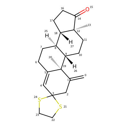 C=C1CC2(C=C3CC[C@@H]4[C@H](CC[C@]5(C)C(=O)CC[C@@H]45)[C@@]13C)SCCS2